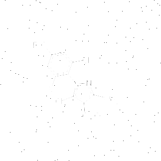 CCOC(=O)c1nn(-c2c(Cl)cc(C(F)(F)F)cc2Cl)c(Cl)c1C=O